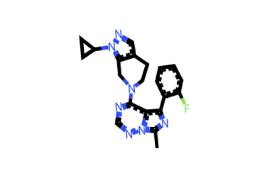 Cc1nc(-c2ccccc2F)c2c(N3CCc4cnn(C5CC5)c4C3)ncnn12